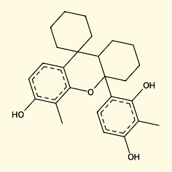 Cc1c(O)ccc(C23CCCCC2C2(CCCCC2)c2ccc(O)c(C)c2O3)c1O